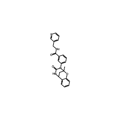 CC12CC(NC(=O)N1c1cccc(C(=O)NCc3cccnc3)c1)c1ccccc1O2